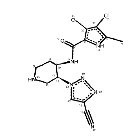 Cc1[nH]c(C(=O)N[C@@H]2CCNC[C@@H]2n2cc(C#N)nn2)c(Cl)c1Cl